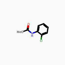 [CH2]OC(=O)Nc1ccccc1Cl